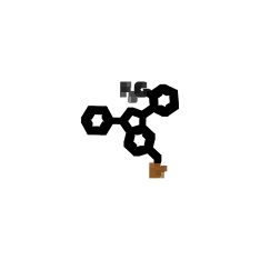 FC(F)(F)c1ccccc1C1CC(c2ccccc2)c2ccc(CBr)cc21